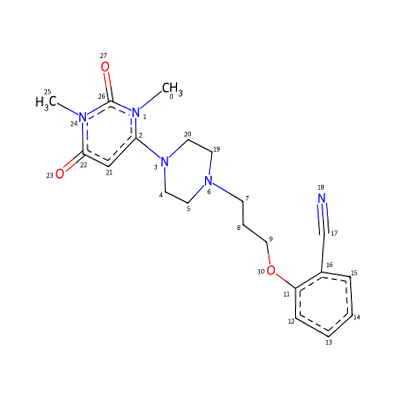 Cn1c(N2CCN(CCCOc3ccccc3C#N)CC2)cc(=O)n(C)c1=O